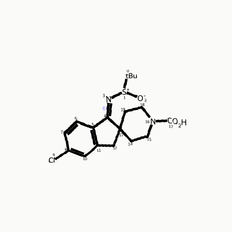 CC(C)(C)[S+]([O-])/N=C1/c2ccc(Cl)cc2CC12CCN(C(=O)O)CC2